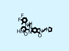 Cc1c(N(c2cc[nH]c(=O)c2-c2nc3cc4c(cc3[nH]2)CN(CCN2CCCC2)C4=O)C(C)C)ccc(F)c1F